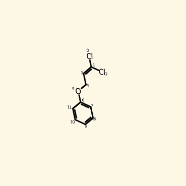 ClC(Cl)=CCOc1c[c]ccc1